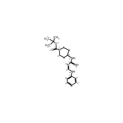 CC(C)(C)OC(=O)N1CCC(NC(=N)/N=C\Nc2ccccc2)CC1